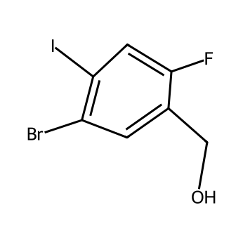 OCc1cc(Br)c(I)cc1F